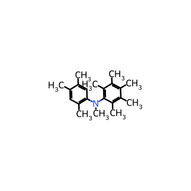 Cc1cc(C)c(N(C)c2c(C)c(C)c(C)c(C)c2C)cc1C